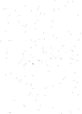 C/C=C\CCCc1ccc(-c2ccc(-c3ccc(C4COC(C)OC4)cc3F)cc2)c(F)c1F